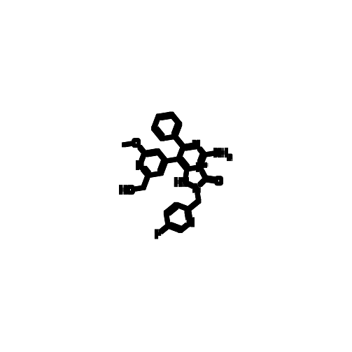 COc1cc(-c2c(-c3ccccc3)nc(N)[n+]3c(=O)n(Cc4ccc(F)cn4)[nH]c23)cc(CO)n1